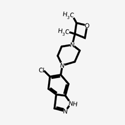 CC1OCC1(C)N1CCN(c2cc3[nH]ncc3cc2Cl)CC1